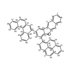 c1ccc2cc3c(cc2c1)oc1c(-c2ccc4ccc5cccc6ccc2c4c56)cc(-c2cc4ccc5ccccc5c4c4ccccc24)cc13